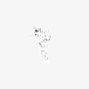 CCOc1ccc(CNC(=O)C(CCC(N)/C(N)=N\[N+](=O)[O-])NC(=O)OC(C)(C)C)cc1